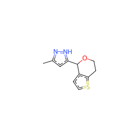 Cc1cc(C2OCCc3sccc32)[nH]n1